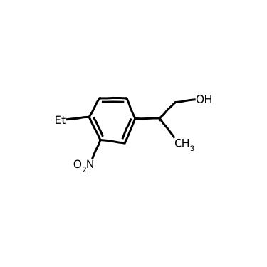 CCc1ccc([C](C)CO)cc1[N+](=O)[O-]